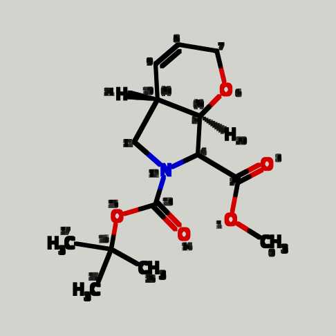 COC(=O)C1[C@@H]2OCC=C[C@H]2CN1C(=O)OC(C)(C)C